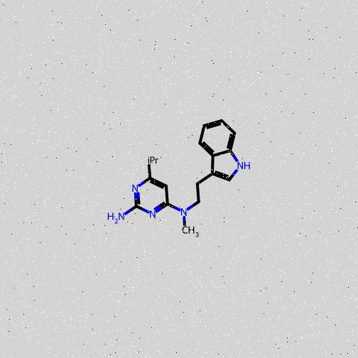 CC(C)c1cc(N(C)CCc2c[nH]c3ccccc23)nc(N)n1